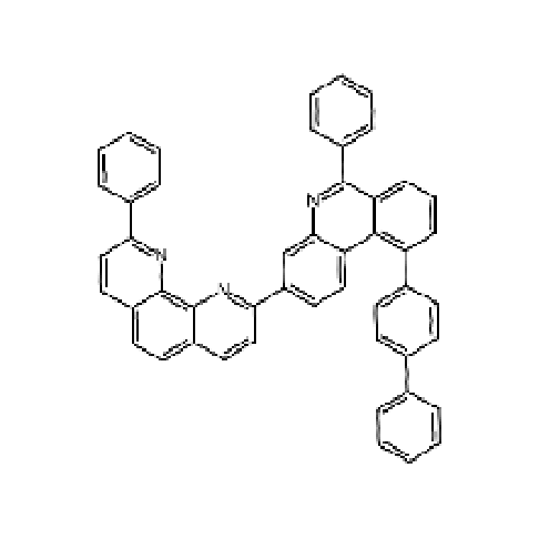 c1ccc(-c2ccc(-c3cccc4c(-c5ccccc5)nc5cc(-c6ccc7ccc8ccc(-c9ccccc9)nc8c7n6)ccc5c34)cc2)cc1